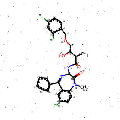 CC(C(=O)NC1N=C(c2ccccc2)c2cc(Cl)ccc2N(C)C1=O)C(O)COCc1ccc(F)cc1F